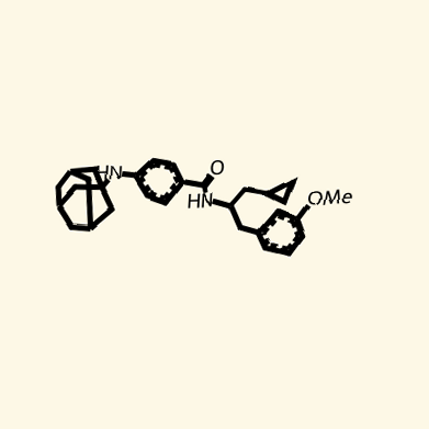 COc1cccc(CC(CC2CC2)NC(=O)c2ccc(NC34CC5CC(CC(C5)C3)C4)cc2)c1